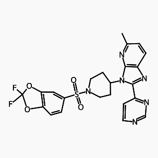 Cc1ccc2nc(-c3ccncn3)n(C3CCN(S(=O)(=O)c4ccc5c(c4)OC(F)(F)O5)CC3)c2n1